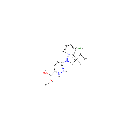 CCOC(O)c1ccc(NCC2(c3ncccc3F)CCC2)nn1